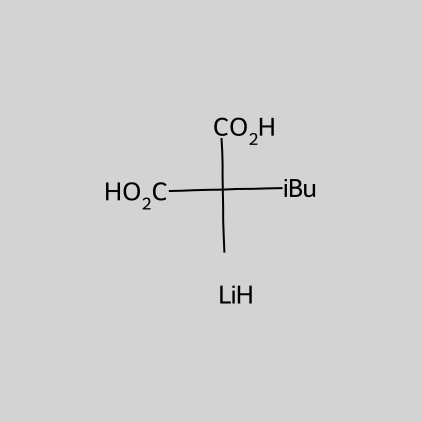 CCC(C)C(C)(C(=O)O)C(=O)O.[LiH]